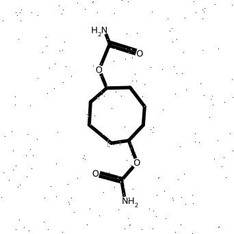 NC(=O)OC1CCCC(OC(N)=O)CCC1